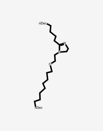 CCCCCCCCCCCCCCCCCCOCCN1CCN=C1CCCCCCCCCCCCCC